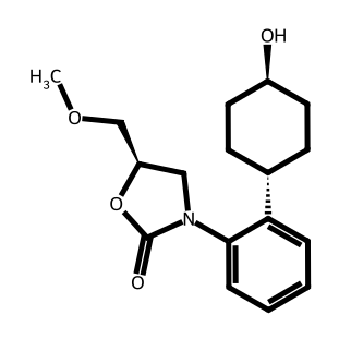 COC[C@H]1CN(c2ccccc2[C@H]2CC[C@H](O)CC2)C(=O)O1